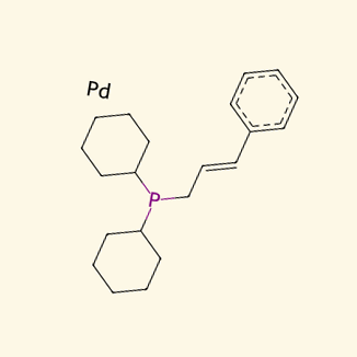 C(=C\c1ccccc1)/CP(C1CCCCC1)C1CCCCC1.[Pd]